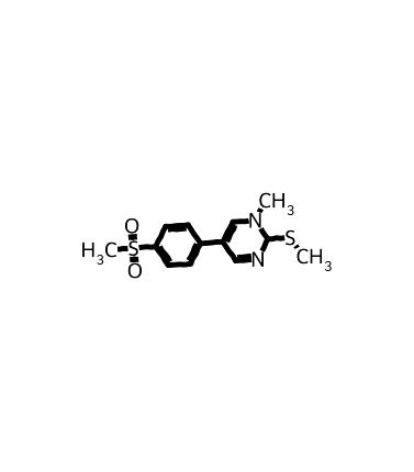 CSC1N=CC(c2ccc(S(C)(=O)=O)cc2)=CN1C